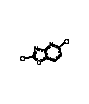 Clc1ccc2oc(Cl)nc2n1